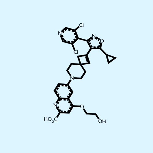 O=C(O)c1cc(OCCO)c2cc(N3CCC4(C=C(c5c(-c6c(Cl)cncc6Cl)noc5C5CC5)C4)CC3)ccc2n1